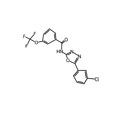 O=C(Nc1nnc(-c2cccc(Cl)c2)o1)c1cccc(OC(F)(F)F)c1